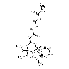 CCC1(CC)CC(OC(=O)CCCCC(=O)OC)CC(C)(C)N1OC(C)c1ccccc1